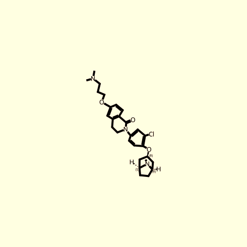 CN(C)CCCOc1ccc2c(c1)CCN(c1ccc(O[C@H]3C[C@H]4CC[C@@H](C3)N4C)c(Cl)c1)C2=O